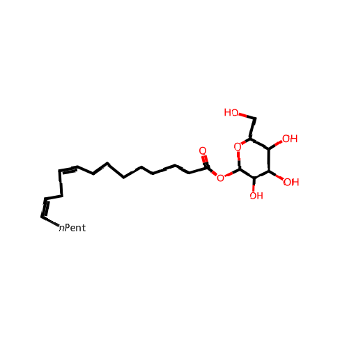 CCCCC/C=C\C/C=C\CCCCCCCC(=O)OC1OC(CO)C(O)C(O)C1O